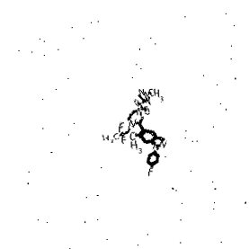 Cc1cc2c(cnn2-c2ccc(F)cc2)cc1C1CN(S(=O)(=O)c2cnn(C)n2)CCN1CC(C)(F)F